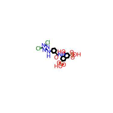 O=C(Nc1cc(S(=O)(=O)O)cc2cc(S(=O)(=O)O)cc(O)c12)c1cccc(Nc2nc(Cl)nc(Cl)n2)c1